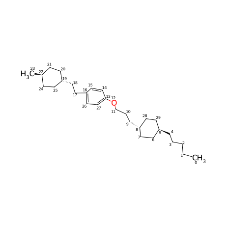 CCCCC[C@H]1CC[C@H](CCCOc2ccc(CC[C@H]3CC[C@H](C)CC3)cc2)CC1